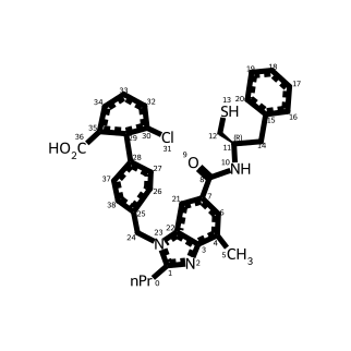 CCCc1nc2c(C)cc(C(=O)N[C@@H](CS)Cc3ccccc3)cc2n1Cc1ccc(-c2c(Cl)cccc2C(=O)O)cc1